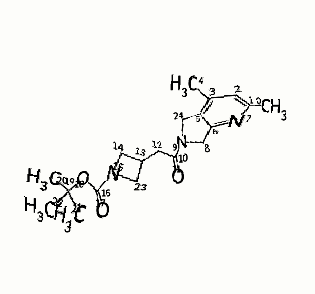 Cc1cc(C)c2c(n1)CN(C(=O)CC1CN(C(=O)OC(C)(C)C)C1)C2